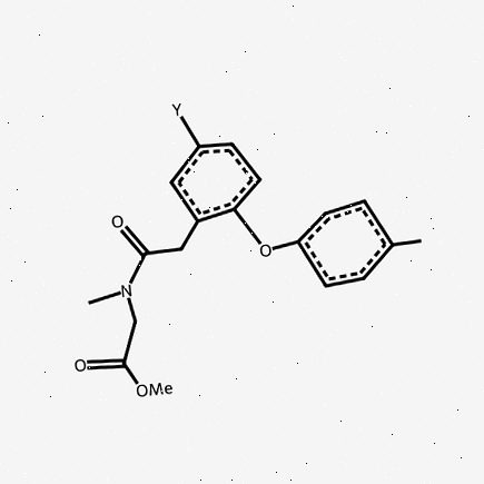 COC(=O)CN(C)C(=O)Cc1c[c]([Y])ccc1Oc1ccc(C)cc1